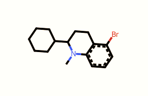 CN1c2cccc(Br)c2CCC1C1CCCCC1